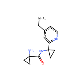 CC(=O)NCc1ccnc(C2(NC(=O)C3(N)CC3)CC2)c1